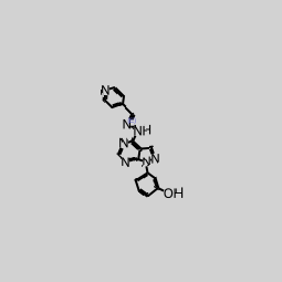 Oc1cccc(-n2ncc3c(N/N=C/c4ccncc4)ncnc32)c1